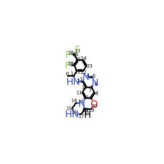 CC(Nc1ncnc2cc3c(cc12)N1CCNC[C@@H]1CO3)c1cccc(C(F)F)c1F